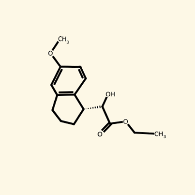 CCOC(=O)C(O)[C@@H]1CCCc2cc(OC)ccc21